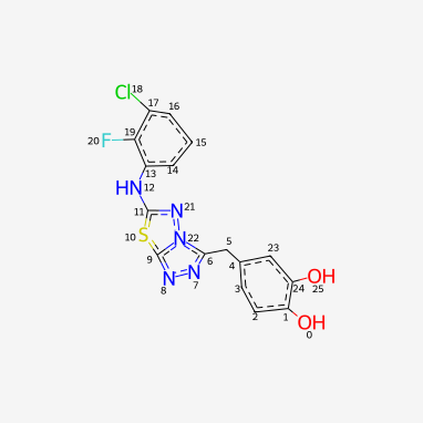 Oc1ccc(Cc2nnc3sc(Nc4cccc(Cl)c4F)nn23)cc1O